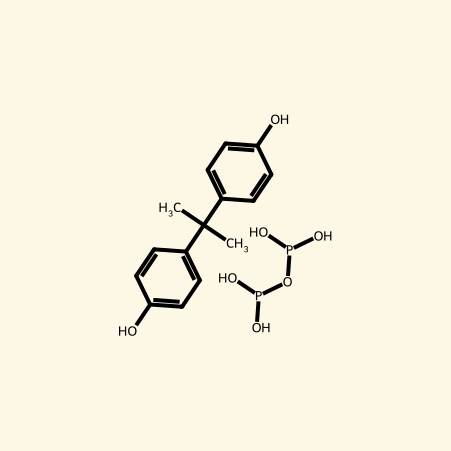 CC(C)(c1ccc(O)cc1)c1ccc(O)cc1.OP(O)OP(O)O